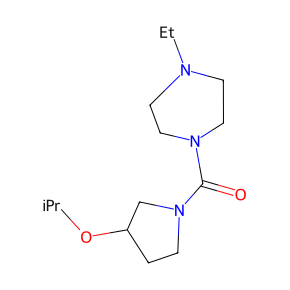 CCN1CCN(C(=O)N2CCC(OC(C)C)C2)CC1